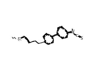 C/C=C/CCc1ccc(-c2ccc(N=C=S)cc2)cc1